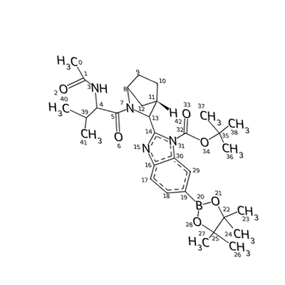 CC(=O)NC(C(=O)N1C2CC[C@@H](C2)C1c1nc2ccc(B3OC(C)(C)C(C)(C)O3)cc2n1C(=O)OC(C)(C)C)C(C)C